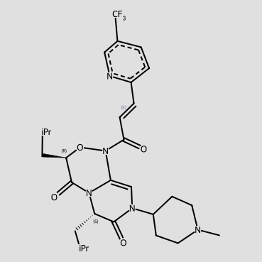 CC(C)C[C@H]1ON(C(=O)/C=C/c2ccc(C(F)(F)F)cn2)C2=CN(C3CCN(C)CC3)C(=O)[C@H](CC(C)C)N2C1=O